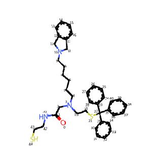 O=C(CN(CCCCCCN1Cc2ccccc2C1)CCSC(c1ccccc1)(c1ccccc1)c1ccccc1)NCCS